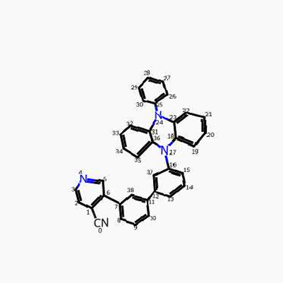 N#Cc1ccncc1-c1cccc(-c2cccc(N3c4ccccc4N(c4ccccc4)c4ccccc43)c2)c1